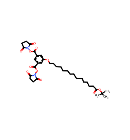 CC(C)(C)OC(=O)CCCCCCCCCCCCCCOc1cc(C(=O)ON2C(=O)CCC2=O)cc(C(=O)ON2C(=O)CCC2=O)c1